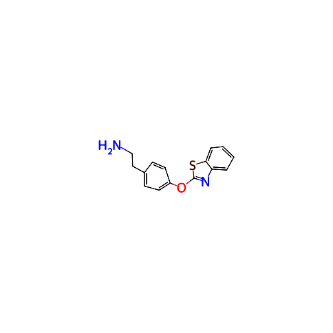 NCCc1ccc(Oc2nc3ccccc3s2)cc1